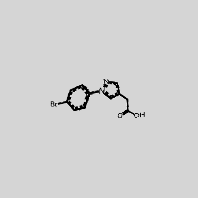 O=C(O)Cc1cnn(-c2ccc(Br)cc2)c1